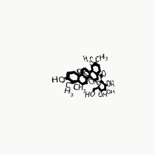 CC1(C)CC[C@]2(C(=O)[C@@H]3OC(CO)[C@@H](O)C(O)C3O)CC[C@]3(C)C(=CCC4[C@@]5(C)CCC(O)C(C)(C)C5CC[C@]43C)C2C1